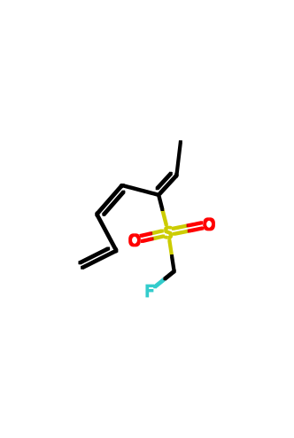 C=C/C=C\C(=C/C)S(=O)(=O)CF